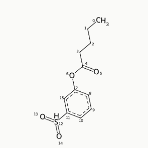 CCCCC(=O)Oc1cccc([SH](=O)=O)c1